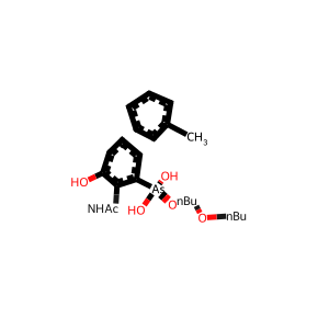 CC(=O)Nc1c(O)cccc1[As](=O)(O)O.CCCCOCCCC.Cc1ccccc1